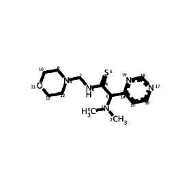 CN(C)C(C(=S)NCN1CCOCC1)c1ccncn1